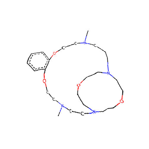 CN1CCOc2ccccc2OCCN(C)CCN2CCOCCN(CCOCC2)CC1